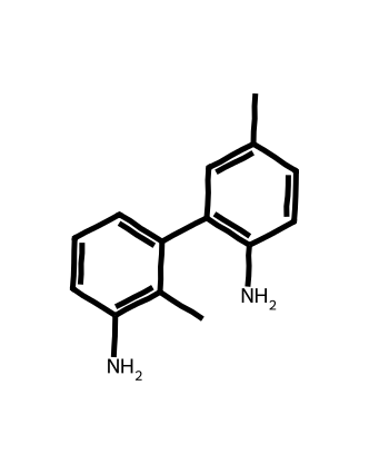 Cc1ccc(N)c(-c2cccc(N)c2C)c1